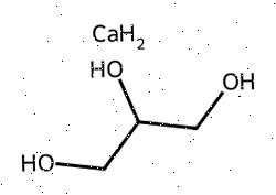 OCC(O)CO.[CaH2]